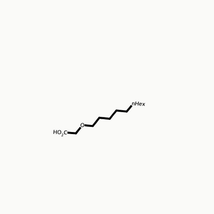 CCCCCCCCCCCOCC(=O)O